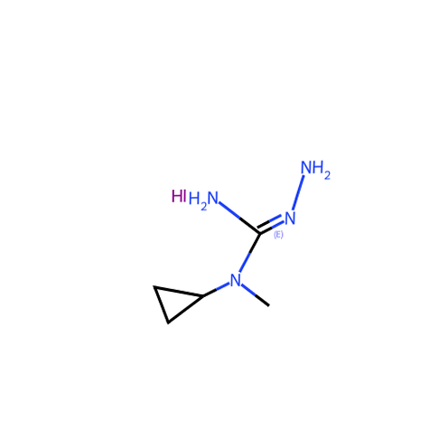 CN(/C(N)=N/N)C1CC1.I